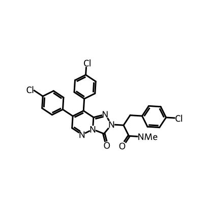 CNC(=O)C(Cc1ccc(Cl)cc1)n1nc2c(-c3ccc(Cl)cc3)c(-c3ccc(Cl)cc3)cnn2c1=O